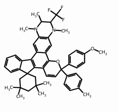 COc1ccc(C2(c3ccc(C)cc3)C=Cc3c4c(c5cc6c(cc5c3O2)N(C)C(C(F)(F)F)C(C)N6C)-c2ccccc2C42CC(C)(C)CC(C)(C)C2)cc1